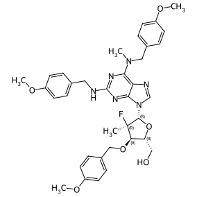 COc1ccc(CNc2nc(N(C)Cc3ccc(OC)cc3)c3ncn([C@@H]4O[C@H](CO)[C@@H](OCc5ccc(OC)cc5)[C@@]4(C)F)c3n2)cc1